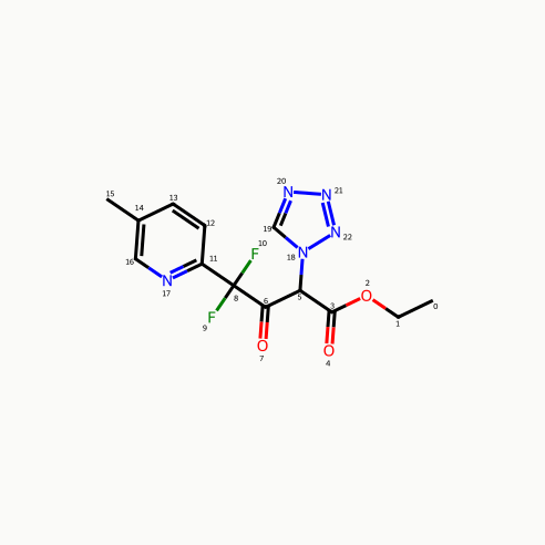 CCOC(=O)C(C(=O)C(F)(F)c1ccc(C)cn1)n1cnnn1